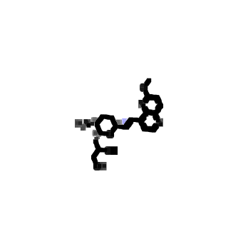 COc1ccc2nccc(/C=C/[C@@H]3CC[C@@H](N)[C@@H](CC(O)CO)O3)c2n1